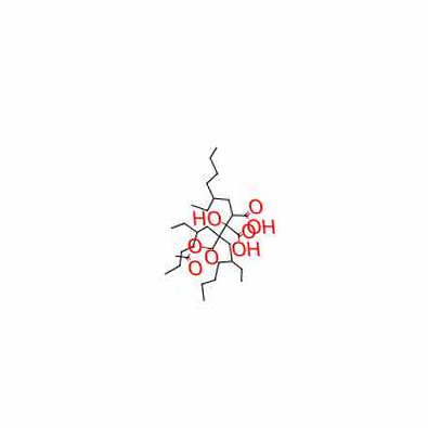 CCCCC(CC)CC(C(=O)O)C(O)(C(=O)O)C(CC(CC)CCCC)(CC(CC)CCCC)C(=O)OC(C)=O